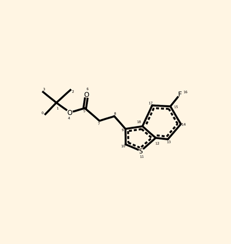 CC(C)(C)OC(=O)CCc1csc2ccc(F)cc12